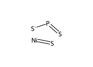 S=P[S-].[S]=[Ni]